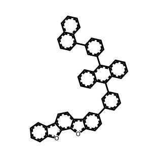 c1cc(-c2ccc3oc4c(ccc5c6ccccc6oc54)c3c2)cc(-c2c3ccccc3c(-c3cccc(-c4cccc5ccccc45)c3)c3ccccc23)c1